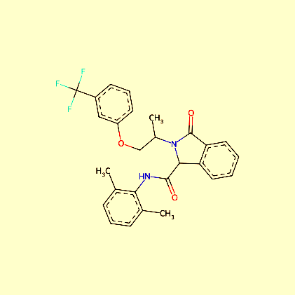 Cc1cccc(C)c1NC(=O)C1c2ccccc2C(=O)N1C(C)COc1cccc(C(F)(F)F)c1